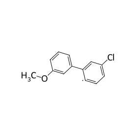 COc1cccc(-c2[c]ccc(Cl)c2)c1